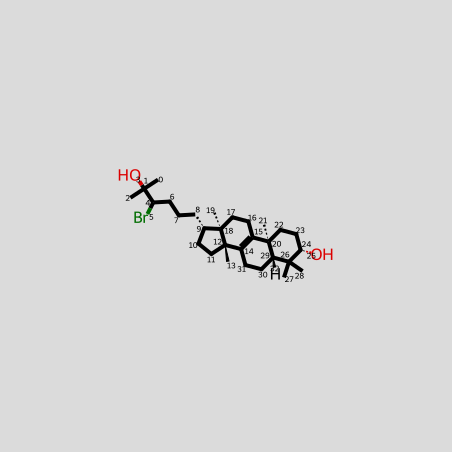 CC(C)(O)C(Br)CCC[C@H]1CC[C@@]2(C)C3=C(CC[C@]12C)[C@@]1(C)CC[C@H](O)C(C)(C)[C@@H]1CC3